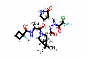 CC(C)(C)[C@H](NC(=O)C1(F)CCC1)C(=O)N1C[C@H]2[C@@H]([C@H]1C(=O)NN(C[C@@H]1CCNC1=O)C(=O)[C@H](F)Cl)C2(C)C